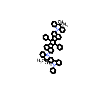 CC1(C)c2ccccc2N(c2ccc3c4c(-c5ccccc5)c5c6cccc7c(N8c9ccccc9C(C)(C)c9cc%10c(cc98)c8ccccc8n%10-c8ccccc8)ccc(c5c(-c5ccccc5)c4c4cccc2c34)c76)c2ccccc21